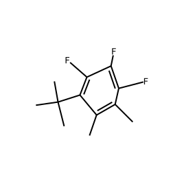 Cc1c(C)c(C(C)(C)C)c(F)c(F)c1F